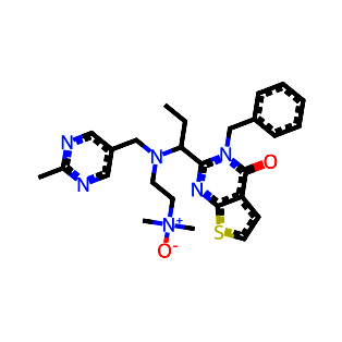 CCC(c1nc2sccc2c(=O)n1Cc1ccccc1)N(CC[N+](C)(C)[O-])Cc1cnc(C)nc1